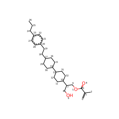 C=C(C)C(=O)OCC(CO)C1CCC(C2CCC(CCc3ccc(CCC)cc3)CC2)CC1